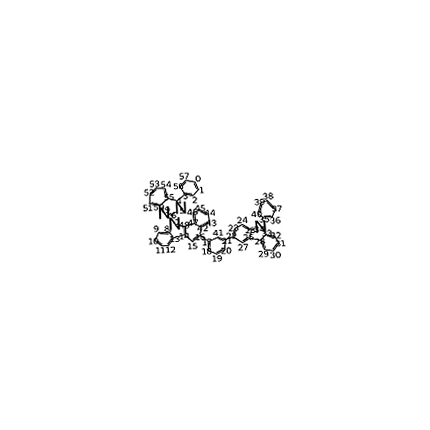 c1ccc(-c2nc(-n3c4ccccc4c4cc(-c5cccc(-c6ccc7c(c6)c6ccccc6n7-c6ccccc6)c5)c5ccccc5c43)nc3ccccc23)cc1